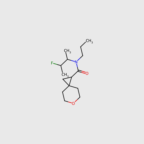 CCCN(C(=O)C1CC12CCOCC2)C(C)C(C)F